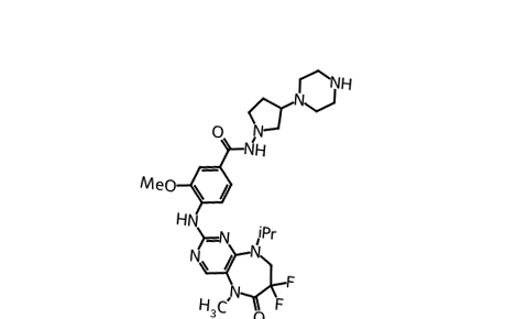 COc1cc(C(=O)NN2CCC(N3CCNCC3)C2)ccc1Nc1ncc2c(n1)N(C(C)C)CC(F)(F)C(=O)N2C